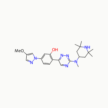 COc1cnn(-c2ccc(-c3cnc(N(C)C4CC(C)(C)NC(C)(C)C4)nn3)c(O)c2)c1